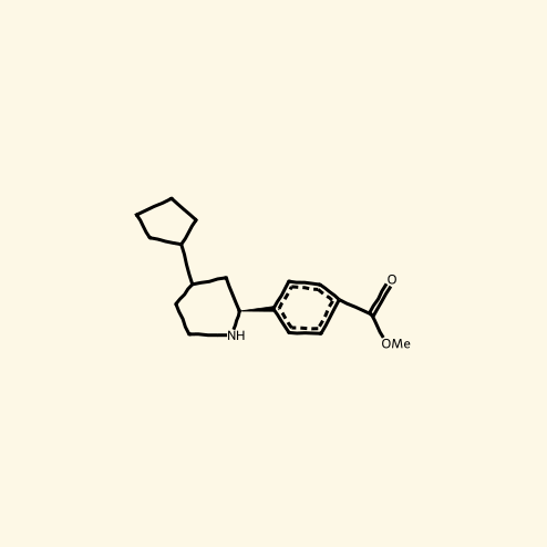 COC(=O)c1ccc([C@@H]2CC(C3CCCC3)CCN2)cc1